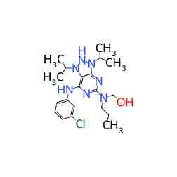 CCCN(CO)c1nc(Nc2cccc(Cl)c2)c2c(n1)N(C(C)C)NN2C(C)C